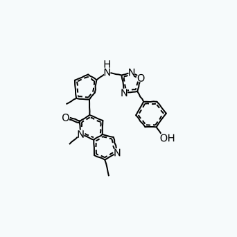 Cc1cc2c(cn1)cc(-c1cc(Nc3noc(-c4ccc(O)cc4)n3)ccc1C)c(=O)n2C